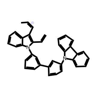 C=Cc1c(/C=C\C)c2ccccc2n1-c1cccc(-c2cccc(-n3c4ccccc4c4ccccc43)c2)c1